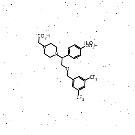 O.O=C(O)CN1CCN(C(COCc2cc(C(F)(F)F)cc(C(F)(F)F)c2)c2ccc(C(=O)O)cc2)CC1